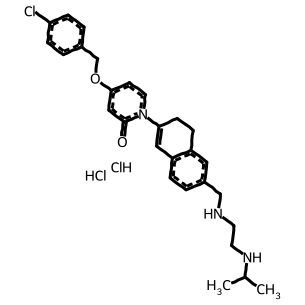 CC(C)NCCNCc1ccc2c(c1)CCC(n1ccc(OCc3ccc(Cl)cc3)cc1=O)=C2.Cl.Cl